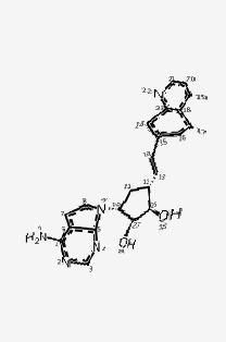 Nc1ncnc2c1ccn2[C@@H]1C[C@H](/C=C/c2ccc3cccnc3c2)[C@@H](O)[C@H]1O